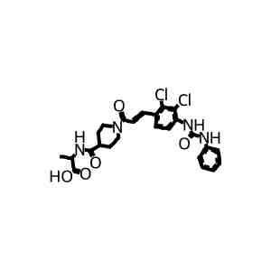 CC(NC(=O)C1CCN(C(=O)/C=C/c2ccc(NC(=O)Nc3ccccc3)c(Cl)c2Cl)CC1)C(=O)O